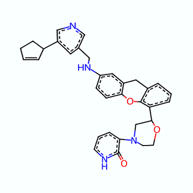 O=c1[nH]cccc1N1CCOC(c2cccc3c2Oc2ccc(NCc4cncc(C5C=CCC5)c4)cc2C3)C1